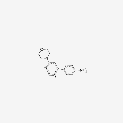 Nc1ccc(-c2cc(N3CCOCC3)ncn2)cc1